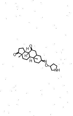 C[C@]12CC/C(=N\O[C@H]3CCNC3)CC1CC(=O)[C@@H]1[C@@H]2CC[C@]2(C)C(=O)CC[C@@H]12